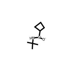 CC(C)(C)N[S+]([O-])C1CCC1